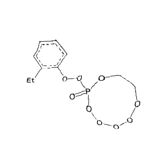 CCc1ccccc1OOP1(=O)OCCOOOOO1